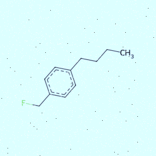 CCCCc1ccc(CF)cc1